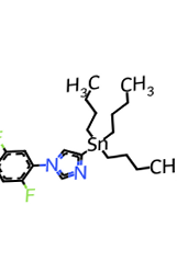 CCC[CH2][Sn]([CH2]CCC)([CH2]CCC)[c]1cn(-c2cc(F)ccc2F)cn1